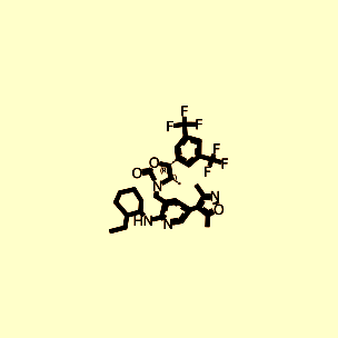 CCC1CCCCC1Nc1ncc(-c2c(C)noc2C)cc1CN1C(=O)O[C@H](c2cc(C(F)(F)F)cc(C(F)(F)F)c2)[C@@H]1C